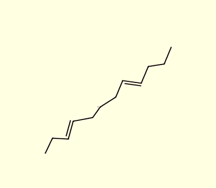 CCC=CC[CH]CC=CCCC